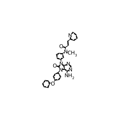 CN(C(=O)/C=C/c1ccccn1)c1cccc(-n2c(=O)n(-c3ccc(Oc4ccccc4)cc3)c3c(N)ncnc32)c1